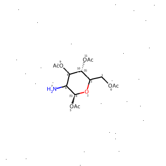 CC(=O)OCC1O[C@@H](OC(C)=O)C(N)C(OC(C)=O)[C@@H]1OC(C)=O